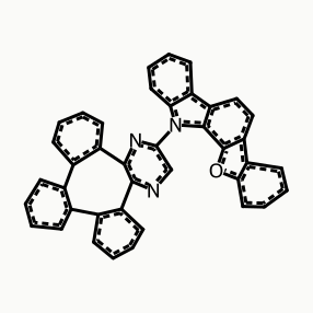 c1ccc2c(c1)-c1ccccc1-c1ncc(-n3c4ccccc4c4ccc5c6ccccc6oc5c43)nc1-c1ccccc1-2